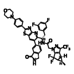 C[C@H]1C2[C@H]1c1c(C(F)(F)F)nn(CC(=O)N[C@@H](Cc3cc(F)cc(F)c3)c3nc4nc(-c5ccc(N6CCOCC6)cc5)sc4cc3-c3ccc4c(c3)C(=O)NC4)c1C2(F)F